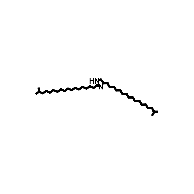 CC(C)CCCCCCCCCCCCCCCC1=NC(CCCCCCCCCCCCCCCC(C)C)CN1